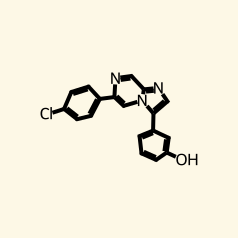 Oc1cccc(-c2cnc3cnc(-c4ccc(Cl)cc4)cn23)c1